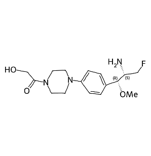 CO[C@H](c1ccc(N2CCN(C(=O)CO)CC2)cc1)[C@H](N)CF